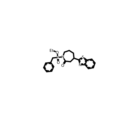 CCOP(=O)(Cc1ccccc1)N1CCCC(c2nc3ccccc3s2)CC1=O